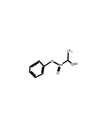 CC(=O)OC([PH](=O)Oc1ccccc1)C(F)(F)F